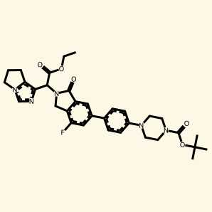 CCOC(=O)C(c1ncn2c1CCC2)N1Cc2c(F)cc(-c3ccc(N4CCN(C(=O)OC(C)(C)C)CC4)cc3)cc2C1=O